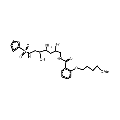 COCCCCOc1ccccc1C(=O)NCC(CC(N)C(O)CNS(=O)(=O)c1cccs1)C(C)C